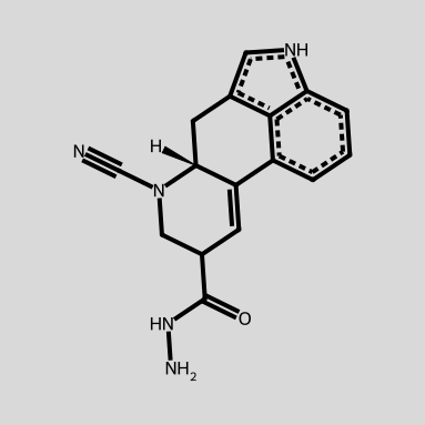 N#CN1CC(C(=O)NN)C=C2c3cccc4[nH]cc(c34)C[C@H]21